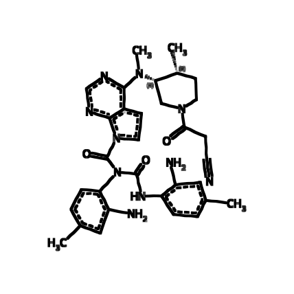 Cc1ccc(NC(=O)N(C(=O)n2ccc3c(N(C)[C@H]4CN(C(=O)CC#N)CC[C@H]4C)ncnc32)c2ccc(C)cc2N)c(N)c1